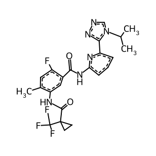 Cc1cc(F)c(C(=O)Nc2cccc(-c3nncn3C(C)C)n2)cc1NC(=O)C1(C(F)(F)F)CC1